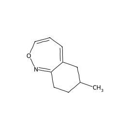 CC1CCC2=NOC=CC=C2C1